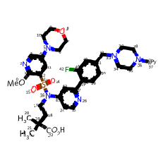 COc1ncc(N2CCOCC2)cc1S(=O)(=O)N(CCC(C)(C)C(=O)O)c1ccnc(-c2ccc(CN3CCN(C(C)C)CC3)cc2F)c1